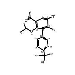 CC(=O)c1cc(Cl)c(F)c(-c2ccc(C(F)(F)F)nc2)c1OC(C)C